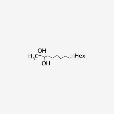 CCCCCCCCCCCCC(O)C(C)O